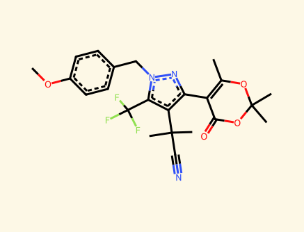 COc1ccc(Cn2nc(C3=C(C)OC(C)(C)OC3=O)c(C(C)(C)C#N)c2C(F)(F)F)cc1